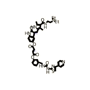 CCN(CC)CCNC(=O)c1c(C)[nH]c(/C=C2\C(=O)Nc3ccc(OC(=O)/C=C/C(=O)Oc4cccc(CNC(=O)Nc5nc(-c6ccncc6)cs5)c4)cc32)c1C